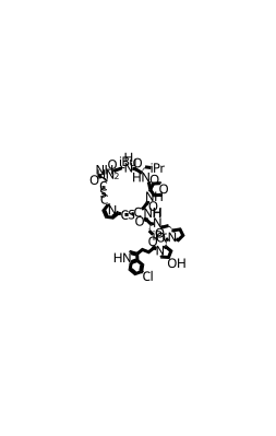 CC[C@H](C)[C@@H]1NC(=O)[C@H](CC(C)C)NC(=O)C2(CCOCC2)NC(=O)[C@@H](NC(=O)[C@@H](CC(C)C)NC(=O)C[C@@H]2CCCN2C(=O)[C@@H]2C[C@@H](O)CN2C(=O)CCc2c[nH]c3ccc(Cl)cc23)CSCc2cccc(n2)CSC[C@@H](C(N)=O)NC1=O